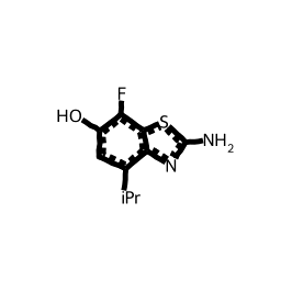 CC(C)c1cc(O)c(F)c2sc(N)nc12